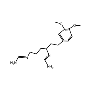 COc1ccc(CCC(CCCN=CN)N=CN)cc1OC